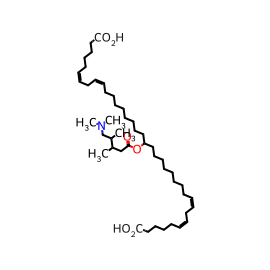 CC(CC(=O)OC(CCCCCCCC/C=C\C/C=C\CCCCC(=O)O)CCCCCCCC/C=C\C/C=C\CCCCC(=O)O)C(C)CN(C)C